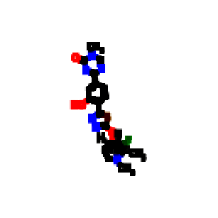 CN1CC2CC[C@]1(C)[C@@H](F)[C@@H]2Oc1nnc(-c2ccc(-c3ncn(C)c(=O)n3)cc2O)s1